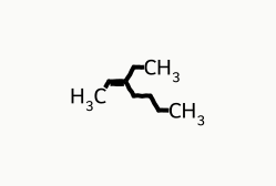 CC=C(CC)CCCC